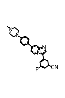 CN1CCN(c2ccc(-c3ccn4c(C5=CC(F)=CC(C#N)C5)cnc4c3)cc2)CC1